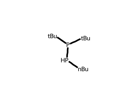 CCCCPP(C(C)(C)C)C(C)(C)C